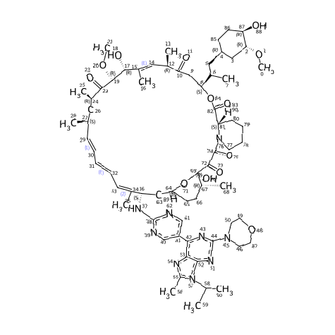 CO[C@@H]1C[C@@H](CC(C)[C@@H]2CC(=O)[C@H](C)/C=C(\C)[C@@H](O)[C@@H](OC)C(=O)[C@H](C)C[C@H](C)/C=C/C=C/C=C(/C)[C@@H](Nc3ncc(-c4nc(N5CCOCC5)nc5c4nc(C)n5C(C)C)cn3)C[C@@H]3CC[C@@H](C)[C@@](O)(O3)C(=O)C(=O)N3CCCC[C@H]3C(=O)O2)CC[C@H]1O